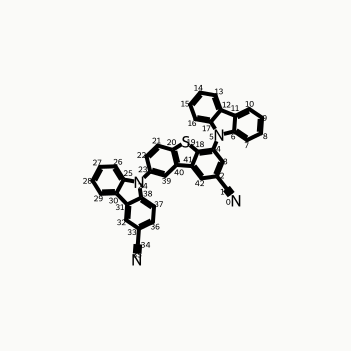 N#Cc1cc(-n2c3ccccc3c3ccccc32)c2sc3ccc(-n4c5ccccc5c5cc(C#N)ccc54)cc3c2c1